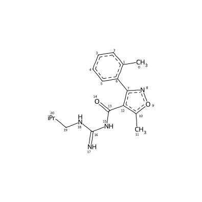 Cc1ccccc1-c1noc(C)c1C(=O)NC(=N)NCC(C)C